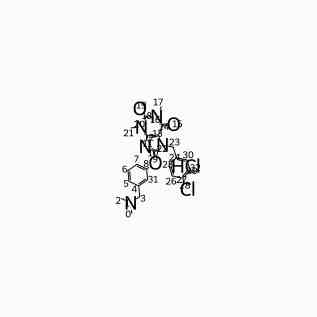 CN(C)Cc1cccc(Oc2nc3c(c(=O)n(C)c(=O)n3C)n2Cc2ccc(Cl)cc2)c1.Cl